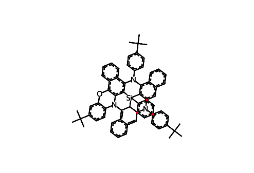 CC(C)(C)c1ccc(N2c3c4c(cc5ccccc35)N(c3ccc(C(C)(C)C)cc3)C3C=c5ccccc5=C5C3[Si]4(c3ccccc3)c3c4c(c6ccccc6c32)Oc2cc(C(C)(C)C)ccc2N54)cc1